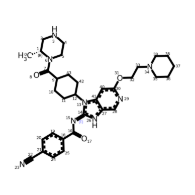 C[C@@H]1CNCCN1C(=O)C1CCC(n2/c(=N/C(=O)c3ccc(C#N)cc3)[nH]c3cnc(OCCN4CCCCC4)cc32)CC1